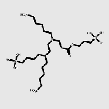 O=C(CCN(CCCCCS(=O)(=O)O)CCN(CCCCCS(=O)(=O)O)CCCC[Si](O)(O)O)OCCC[Si](O)(O)O